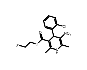 CC1=C(C(=O)OCCBr)C(c2ccccc2Cl)C([N+](=O)[O-])=C(C)N1